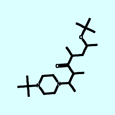 CC(CC(C)C(=O)C(C)C(C)N1CCN(C(C)(C)C)CC1)OC(C)(C)C